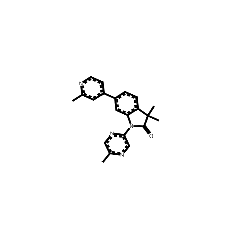 Cc1cnc(N2C(=O)C(C)(C)c3ccc(-c4ccnc(C)c4)cc32)cn1